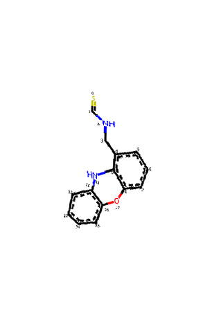 S=[C]NCc1cccc2c1Nc1ccccc1O2